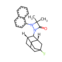 CC1(C)C(=O)N(C2[C@H]3CC4C[C@H]2CC(F)(C4)C3)N1c1cccc2ccccc12